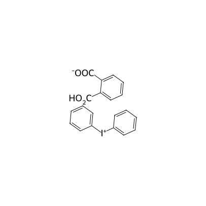 O=C([O-])c1ccccc1C(=O)O.c1ccc([I+]c2ccccc2)cc1